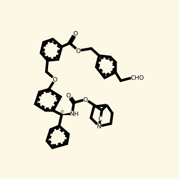 O=CCc1ccc(COC(=O)c2cccc(COc3cccc([C@@H](NC(=O)OC4CN5CCC4CC5)c4ccccc4)c3)c2)cc1